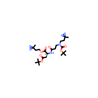 CC1(CCOC(=O)[C@H](CC(=O)OC(C)(C)C)NC(=O)CCN(CCC2(C)N=N2)C(=O)OC(C)(C)C)N=N1